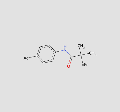 CCCC(C)(C)C(=O)Nc1ccc(C(C)=O)cc1